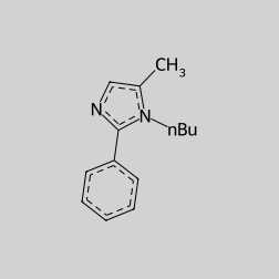 CCCCn1c(C)cnc1-c1ccccc1